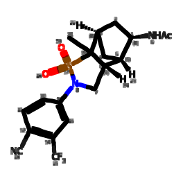 CC(=O)N[C@@H]1C[C@H]2C[C@H]1[C@@H]1CN(c3ccc(C#N)c(C(F)(F)F)c3)S(=O)(=O)C21C